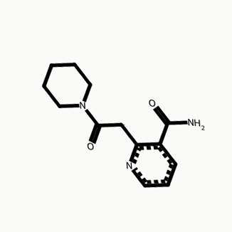 NC(=O)c1cccnc1[CH]C(=O)N1CCCCC1